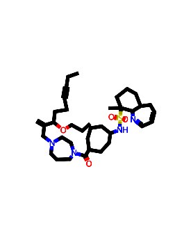 C=C(CN1CCCN(C(=O)C2CCCC(NS(=O)(=O)C3(C)CCCC4CC=CC=NC43)CC2)CC1)C(CCC#CCC)OCCC